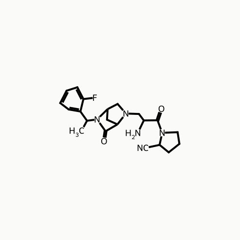 CC(c1ccccc1F)N1C(=O)C2CC1CN2CC(N)C(=O)N1CCCC1C#N